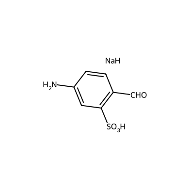 Nc1ccc(C=O)c(S(=O)(=O)O)c1.[NaH]